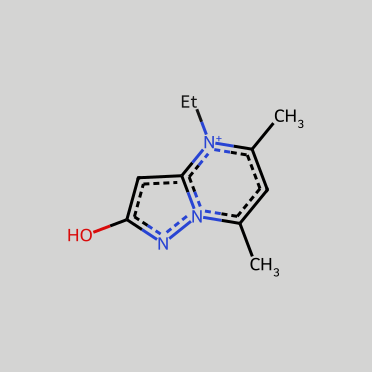 CC[n+]1c(C)cc(C)n2nc(O)cc21